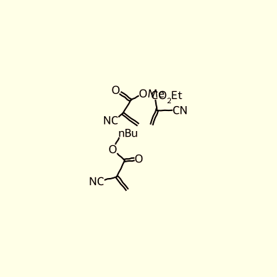 C=C(C#N)C(=O)OC.C=C(C#N)C(=O)OCC.C=C(C#N)C(=O)OCCCC